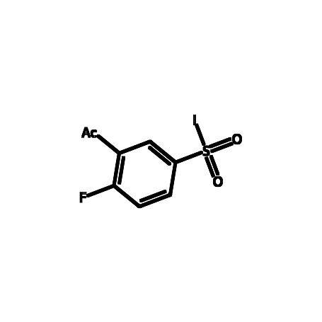 CC(=O)c1cc(S(=O)(=O)I)ccc1F